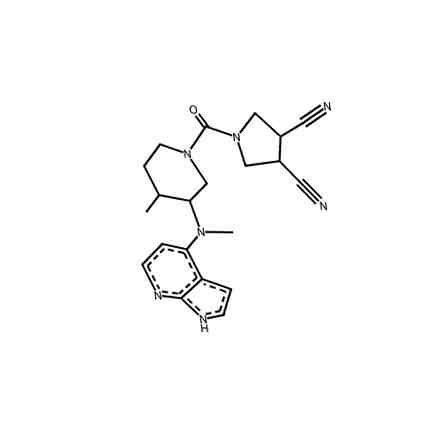 CC1CCN(C(=O)N2CC(C#N)C(C#N)C2)CC1N(C)c1ccnc2[nH]ccc12